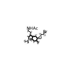 CC(=O)NCCc1cn(SI)c2cc(F)c(OCCBr)cc12